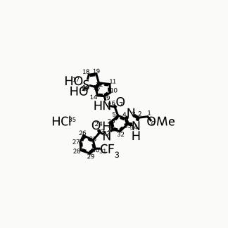 COCc1nc2c(C(=O)Nc3ccc4c(c3)S(O)(O)C=C4)cc(NC(=O)c3ccccc3C(F)(F)F)cc2[nH]1.Cl